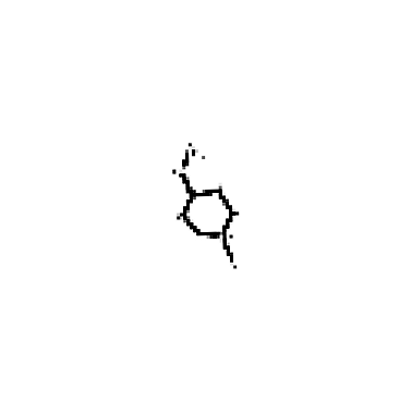 COC1CCN(I)CC1